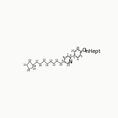 CCCCCCCOc1ccc(-c2ccc(CCCCCCCCC3CCCC3)cn2)cc1